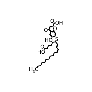 CCCCCCCCCC/C=C\C=C\[C@@H](Sc1ccc2c(=O)cc(C(=O)O)oc2c1)[C@@H](O)CCCC(=O)O